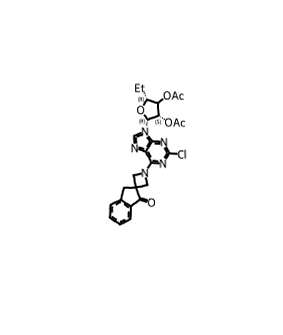 CC[C@H]1O[C@@H](n2cnc3c(N4CC5(Cc6ccccc6C5=O)C4)nc(Cl)nc32)[C@@H](OC(C)=O)C1OC(C)=O